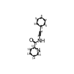 O=C(NC#Cc1ccccc1)c1ccccn1